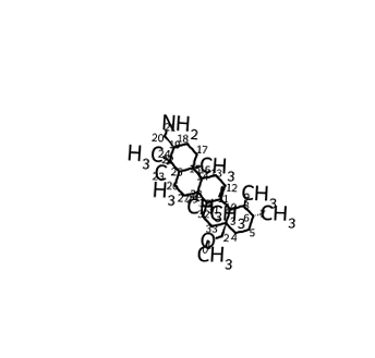 COC[C@]12CC[C@@H](C)[C@H](C)C1C1=CCC3[C@@]4(C)CC[C@H](CN)C(C)(C)C4CC[C@@]3(C)[C@]1(C)CC2